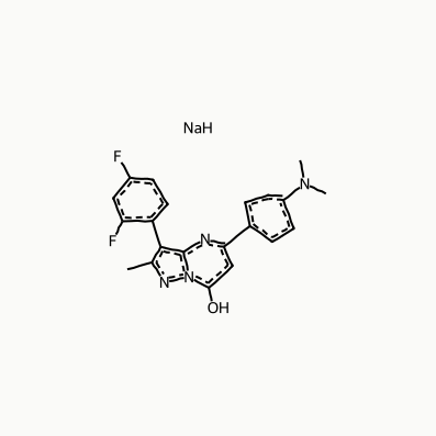 Cc1nn2c(O)cc(-c3ccc(N(C)C)cc3)nc2c1-c1ccc(F)cc1F.[NaH]